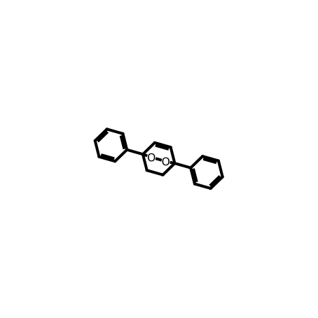 C1=CC2(c3ccccc3)CCC1(c1ccccc1)OO2